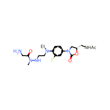 CCN(CCNN(C)C(=O)CN)c1ccc(N2C[C@H](CNC(C)=O)OC2=O)cc1F